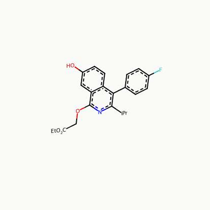 CCOC(=O)COc1nc(C(C)C)c(-c2ccc(F)cc2)c2ccc(O)cc12